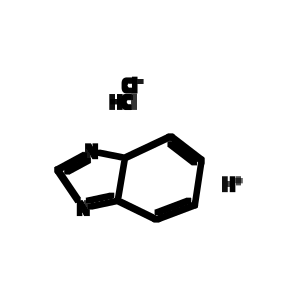 C1=CC2=NC=NC2C=C1.Cl.[Cl-].[H+]